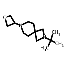 CC(C)(C)N1CC2(CCN(C3COC3)CC2)C1